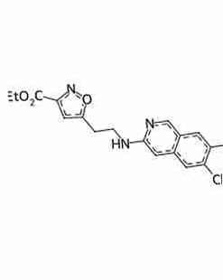 CCOC(=O)c1cc(CCNc2cc3cc(Cl)c(Cl)cc3cn2)on1